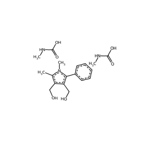 CNC(=O)O.CNC(=O)O.Cc1c(CO)c(CO)c(-c2ccccc2)n1C